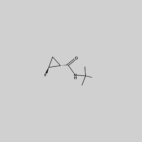 CC(C)(C)NC(=O)[C@H]1C[C@@H]1F